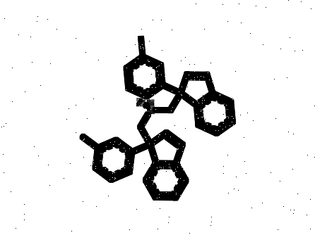 Cc1cccc(C2(C[SiH]([Zr])CC3(c4cccc(C)c4)C=Cc4ccccc43)C=Cc3ccccc32)c1